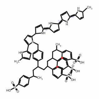 Cc1ccc(-c2ccc(C3C=C/C(=c4/cc/c(=c5/cc/c(=C6/C=CC(C)N6)[nH]5)[nH]4)N3)n2Cc2ccc(C(CC(C)c3ccc(S(=O)(=O)O)cc3)CC(CC(CC(C)c3ccc(S(=O)(=O)O)cc3)c3ccc(S(=O)(=O)O)cc3)c3ccc(S(=O)(=O)O)cc3)cc2)[nH]1